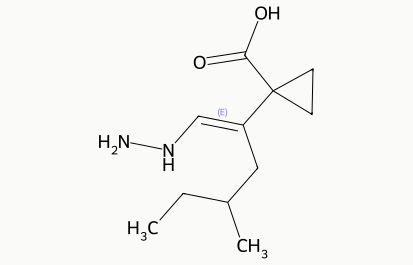 CCC(C)C/C(=C\NN)C1(C(=O)O)CC1